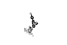 CN(C)C[C@@H]1CN(c2ccc3c(c2)Cn2cc(-c4ccc(C#N)cc4)cc2-c2nccn2-3)C(=O)N1C